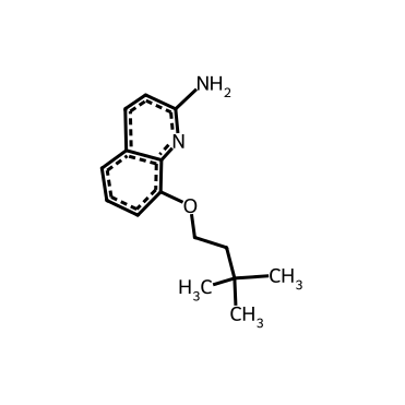 CC(C)(C)CCOc1cccc2ccc(N)nc12